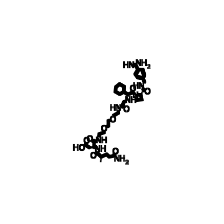 C[C@@H](CCC(N)=O)C(=O)N[C@@H](CC(=O)O)C(=O)NCCOCCOCCNC(=O)CN[C@@H](C(=O)N1CC[C@H]1C(=O)NCc1ccc(C(=N)N)cc1)C1CCCCC1